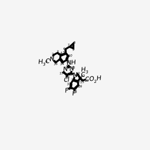 CN1CCc2c(CC3CC3)cc(Nc3ncc(Cl)c(N4CC(C)(CC(=O)O)c5cc(F)c(F)cc54)n3)cc2C1